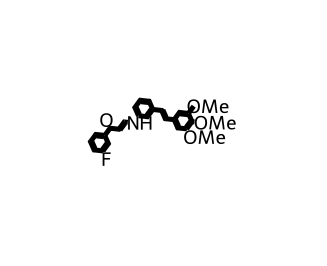 COc1cc(C=Cc2cccc(NC=CC(=O)c3cccc(F)c3)c2)cc(OC)c1OC